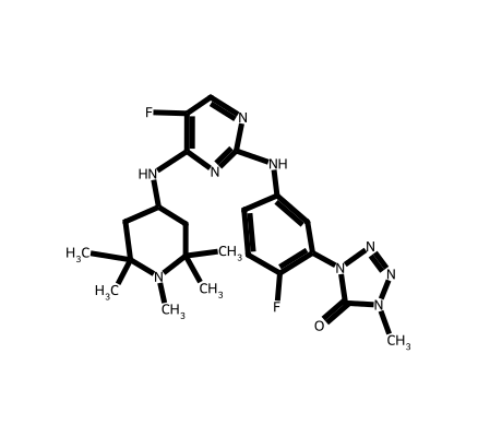 CN1C(C)(C)CC(Nc2nc(Nc3ccc(F)c(-n4nnn(C)c4=O)c3)ncc2F)CC1(C)C